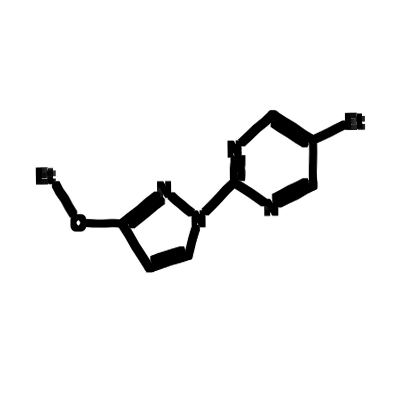 CCOc1ccn(-c2ncc(CC)cn2)n1